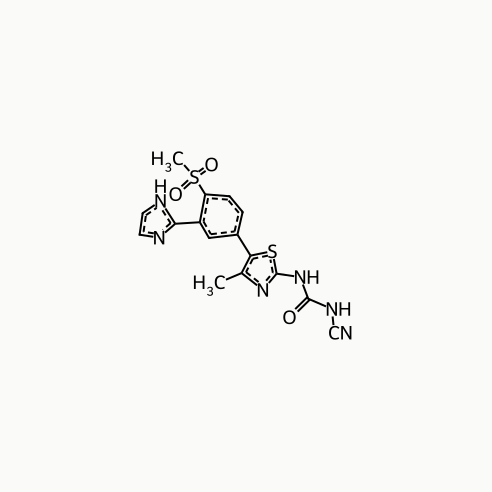 Cc1nc(NC(=O)NC#N)sc1-c1ccc(S(C)(=O)=O)c(-c2ncc[nH]2)c1